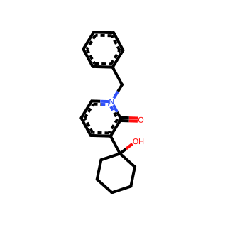 O=c1c(C2(O)CCCCC2)cccn1Cc1ccccc1